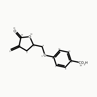 C=C1CC(COc2ccc(C(=O)O)cc2)OC1=O